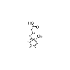 O=C(O)CCC[n+]1ccccc1.[Cl-]